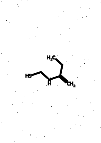 C=C(CC)NCS